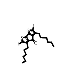 CCCCCCc1c(I)sc2c1C(=O)c1c-2sc(I)c1CCCCCC